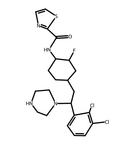 O=C(NC1CCC(CC(c2cccc(Cl)c2Cl)N2CCNCC2)CC1F)c1nccs1